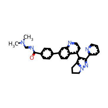 CN(C)C=NC(=O)c1ccc(-c2ccc3c(-c4c(-c5ccccn5)nn5c4CCC5)ccnc3c2)cc1